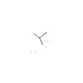 Br.Br.ClC(Cl)Cl